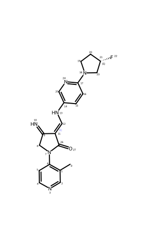 Cc1cnccc1N1CC(=N)/C(=C\Nc2ccc(N3CC[C@H](F)C3)nc2)C1=O